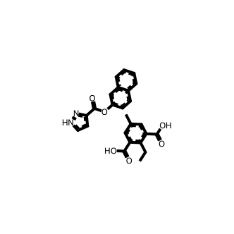 CCc1c(C(=O)O)cc(C)cc1C(=O)O.O=C(Oc1ccc2ccccc2c1)c1cc[nH]n1